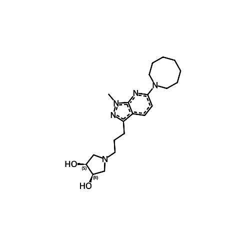 Cn1nc(CCCN2C[C@@H](O)[C@@H](O)C2)c2ccc(N3CCCCCCC3)nc21